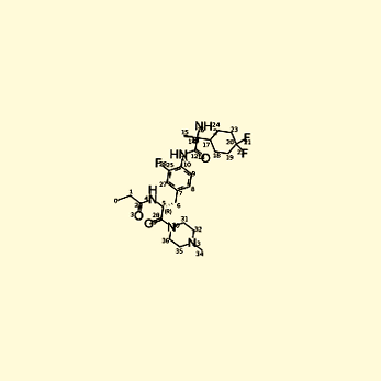 CCC(=O)N[C@H](Cc1ccc(NC(=O)[C@](C)(N)C2CCC(F)(F)CC2)c(F)c1)C(=O)N1CCN(C)CC1